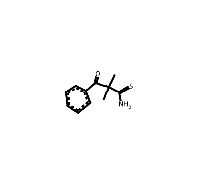 CC(C)(C(=O)c1ccccc1)C(N)=S